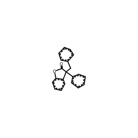 O=C1Oc2ccccc2C1(Cc1ccccc1)c1ccccc1